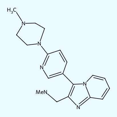 CNCc1nc2ccccn2c1-c1ccc(N2CCN(C)CC2)nc1